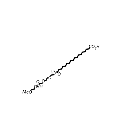 COCCONC(=O)COCCOCCNC(=O)CCCCCCCCCCCCCCCCC(=O)O